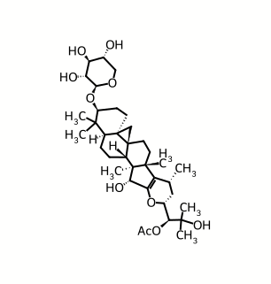 CC(=O)O[C@@H]([C@H]1C[C@@H](C)C2=C(O1)[C@H](O)[C@@]1(C)[C@@H]3CC[C@H]4C(C)(C)[C@@H](O[C@@H]5OC[C@@H](O)[C@H](O)[C@H]5O)CC[C@@]45C[C@@]35CC[C@]21C)C(C)(C)O